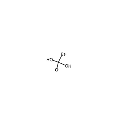 C[CH]C([O])(O)O